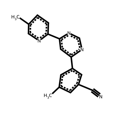 Cc1ccc(-c2cc(-c3cc(C)cc(C#N)c3)ncn2)nc1